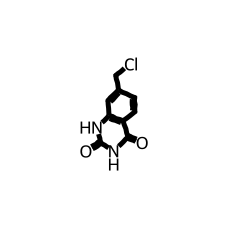 O=c1[nH]c(=O)c2ccc(CCl)cc2[nH]1